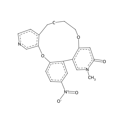 Cn1cc2c(cc1=O)OCCCCc1ccncc1Oc1ccc([N+](=O)[O-])cc1-2